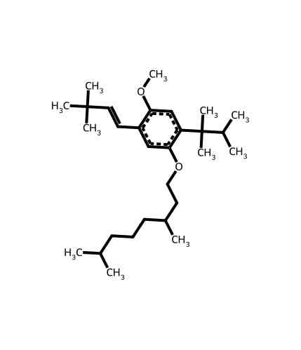 COc1cc(C(C)(C)C(C)C)c(OCCC(C)CCCC(C)C)cc1/C=C/C(C)(C)C